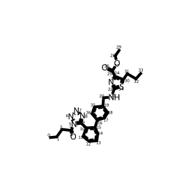 CCCC(=O)n1nnnc1-c1ccccc1-c1ccc(CNc2nc(C(=O)OCC)c(CCC)s2)cc1